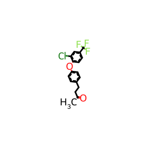 CC(=O)CCc1ccc(Oc2ccc(C(F)(F)F)cc2Cl)cc1